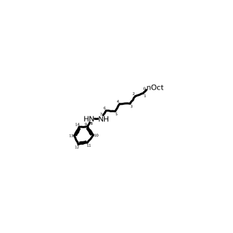 CCCCCCCCCCCCCCNNc1ccccc1